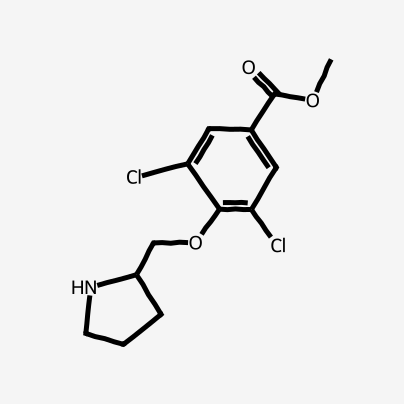 COC(=O)c1cc(Cl)c(OCC2CCCN2)c(Cl)c1